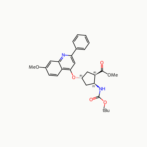 COC(=O)[C@@H]1C[C@@H](Oc2cc(-c3ccccc3)nc3cc(OC)ccc23)C[C@@H]1NC(=O)OC(C)(C)C